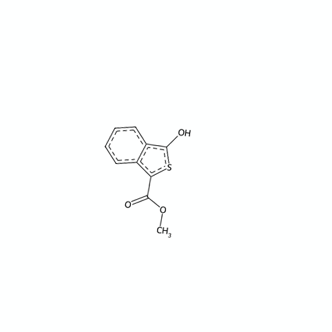 COC(=O)c1sc(O)c2ccccc12